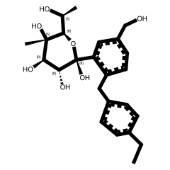 CCc1ccc(Cc2ccc(CO)cc2[C@@]2(O)O[C@H]([C@H](C)O)[C@@](C)(O)[C@H](O)[C@H]2O)cc1